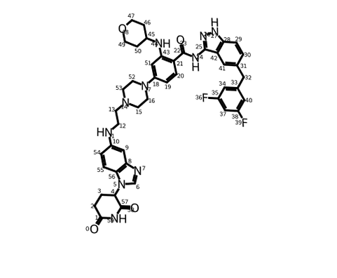 O=C1CCC(n2cnc3cc(NCCN4CCN(c5ccc(C(=O)Nc6n[nH]c7ccc(Cc8cc(F)cc(F)c8)cc67)c(NC6CCOCC6)c5)CC4)ccc32)C(=O)N1